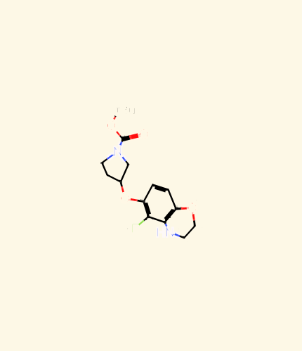 CC(C)(C)OC(=O)N1CCC(Oc2ccc3c(c2F)NCCO3)C1